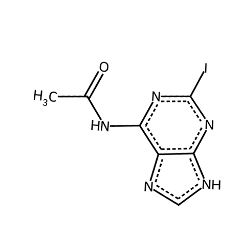 CC(=O)Nc1nc(I)nc2[nH]cnc12